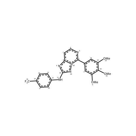 COc1cc(-c2nccc3nc(Nc4ccc(C(F)(F)F)cc4)nn23)cc(OC)c1OC